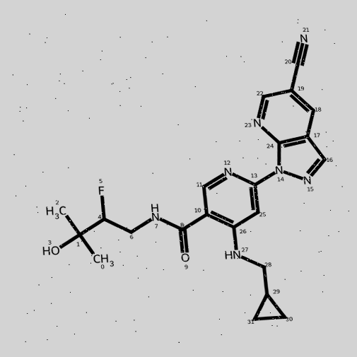 CC(C)(O)C(F)CNC(=O)c1cnc(-n2ncc3cc(C#N)cnc32)cc1NCC1CC1